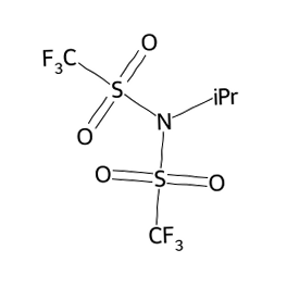 CC(C)N(S(=O)(=O)C(F)(F)F)S(=O)(=O)C(F)(F)F